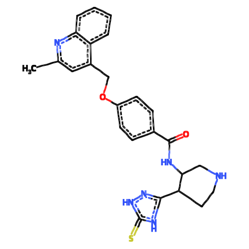 Cc1cc(COc2ccc(C(=O)NC3CNCCC3c3n[nH]c(=S)[nH]3)cc2)c2ccccc2n1